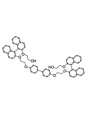 OCCOc1ccc2ccccc2c1-c1c(OCCOc2ccc(-c3ccc(OCCOc4ccc5ccccc5c4-c4c(OCCO)ccc5ccccc45)cc3)cc2)ccc2ccccc12